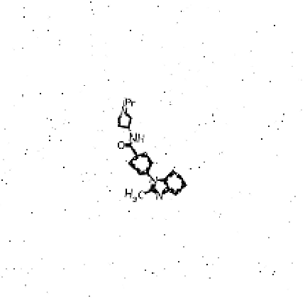 Cc1nc2ccccc2n1-c1ccc(C(=O)N[C@@H]2CCN(C(C)C)C2)cc1